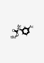 CC(=O)c1cccc(N(C(C)=O)C(=O)OC(C)(C)C)c1